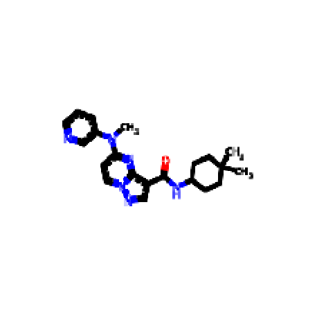 CN(c1cccnc1)c1ccn2ncc(C(=O)NC3CCC(C)(C)CC3)c2n1